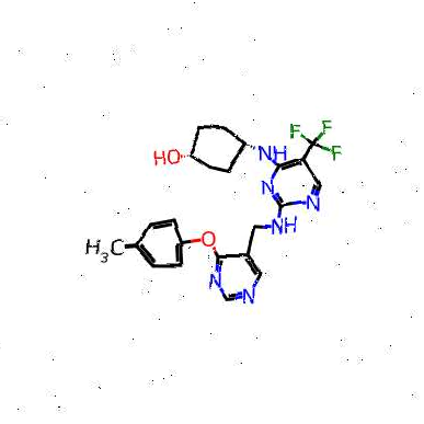 Cc1ccc(Oc2ncncc2CNc2ncc(C(F)(F)F)c(N[C@H]3CC[C@@H](O)CC3)n2)cc1